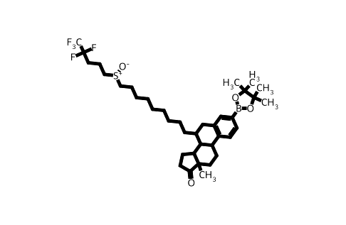 CC12CCC3c4ccc(B5OC(C)(C)C(C)(C)O5)cc4CC(CCCCCCCCC[S+]([O-])CCCC(F)(F)C(F)(F)F)C3C1CCC2=O